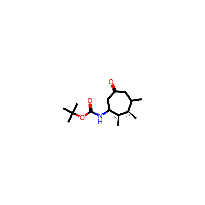 CC1CC(=O)CC(NC(=O)OC(C)(C)C)[C@H](C)[C@@H]1C